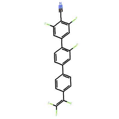 N#Cc1c(F)cc(-c2ccc(-c3ccc(C(F)=C(F)F)cc3)cc2F)cc1F